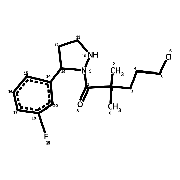 CC(C)(CCCCl)C(=O)N1NCCC1c1cccc(F)c1